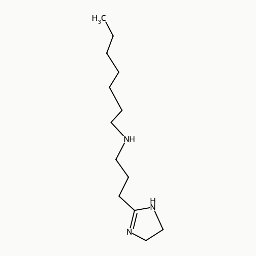 CCCCCCCNCCCC1=NCCN1